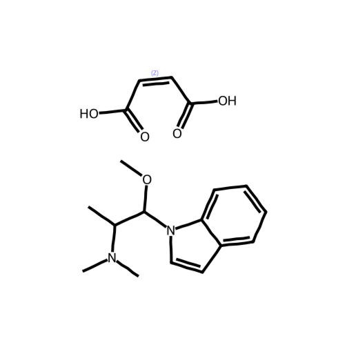 COC(C(C)N(C)C)n1ccc2ccccc21.O=C(O)/C=C\C(=O)O